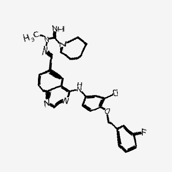 CN(/N=C/c1ccc2ncnc(Nc3ccc(OCc4cccc(F)c4)c(Cl)c3)c2c1)C(=N)N1CCCCC1